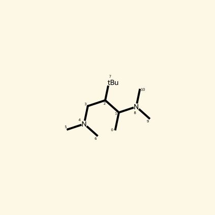 CC(C(CN(C)C)C(C)(C)C)N(C)C